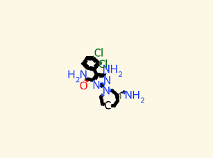 NC[C@@H]1CCCCCN(c2nc(N)c(-c3cccc(Cl)c3Cl)c(C(N)=O)n2)C1